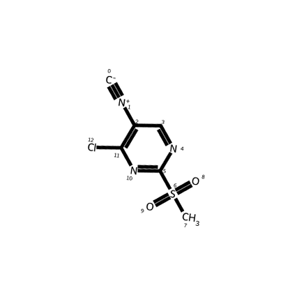 [C-]#[N+]c1cnc(S(C)(=O)=O)nc1Cl